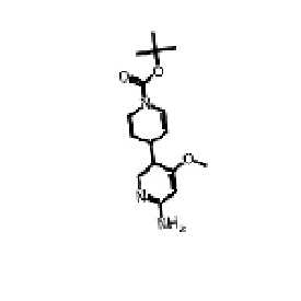 COC1=CC(N)=NCC1C1C=CN(C(=O)OC(C)(C)C)CC1